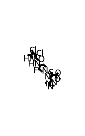 COC(=O)c1sc(N2CCC(NC(=O)c3[nH]c(C)c(Cl)c3Cl)C(F)C2)nc1-c1ncnn1C